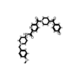 COc1ccc(CN2CCC(NC(=O)c3ccc(C(=O)N4CCC(C(=O)c5ccc(F)cc5)CC4)cn3)CC2)cc1